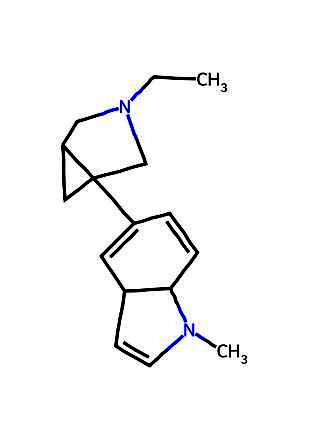 CCN1CC2CC2(C2=CC3C=CN(C)C3C=C2)C1